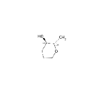 C[C@@H]1OCCC[C@H]1O